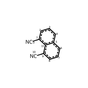 N#Cc1cccc2cccc(C#N)c12